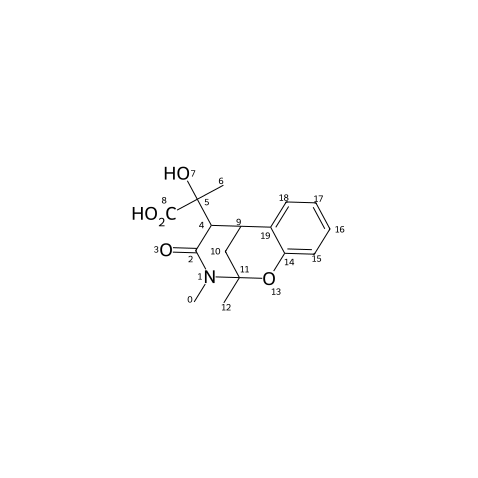 CN1C(=O)C(C(C)(O)C(=O)O)C2CC1(C)Oc1ccccc12